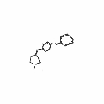 O=C(O)N1CCC(=Cc2ccc(OCc3ccccc3)cc2)CC1